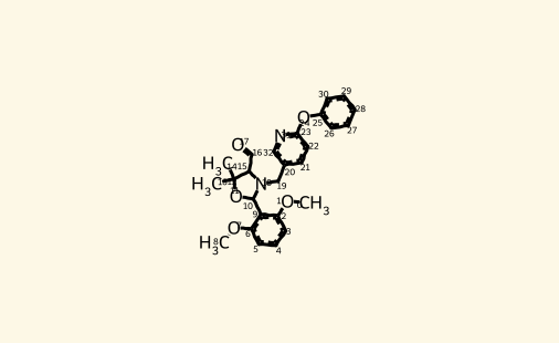 COc1cccc(OC)c1C1OC(C)(C)C(C=O)N1Cc1ccc(Oc2ccccc2)nc1